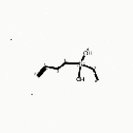 C=CCC[N+](O)(O)CC